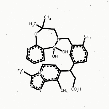 Cc1ccc(C(CC(=O)O)c2ccn3c(C(F)(F)F)nnc3c2C)cc1CN1CC(C)(C)Oc2ncccc2S1(O)O